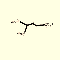 CCCCCC(CCCCC)CCC(=O)O